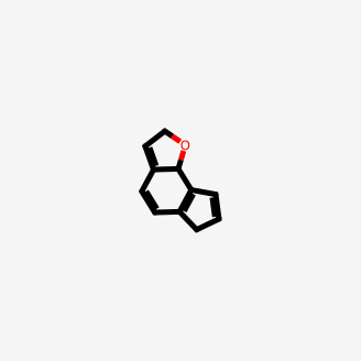 C1=CC2=C(C=CC3=CCOC32)C1